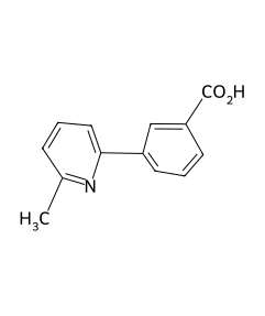 Cc1cccc(-c2cccc(C(=O)O)c2)n1